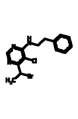 CC(Br)c1ncnc(NCCc2ccccc2)c1Cl